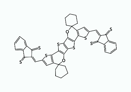 S=C1C(=Cc2cc3c(s2)-c2sc4c5c(sc4c2OC32CCCCC2)-c2sc(C=C3C(=S)c4ccccc4C3=S)cc2C2(CCCCC2)O5)C(=S)c2ccccc21